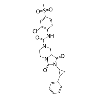 CS(=O)(=O)c1ccc(NC(=O)N2CCN3C(=O)N(C4CC4c4ccccc4)C(=O)C3C2)c(Cl)c1